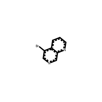 Brc1cncc2ncccc12